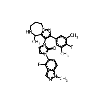 Cc1cc(-c2nn3c(c2-n2ccn(-c4ccc5c(cnn5C)c4F)c2=O)C(C)NCCC3)cc(C)c1F